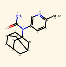 CC(=O)Nc1ccc(N(C(N)=O)C23CC4CC(CC(C4)C2)C3)cn1